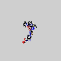 C=C(NC(=O)c1csc(N2CCC(NC(=O)O)CC2)n1)C(=O)NC(=C)C(=O)N1CCCCC1